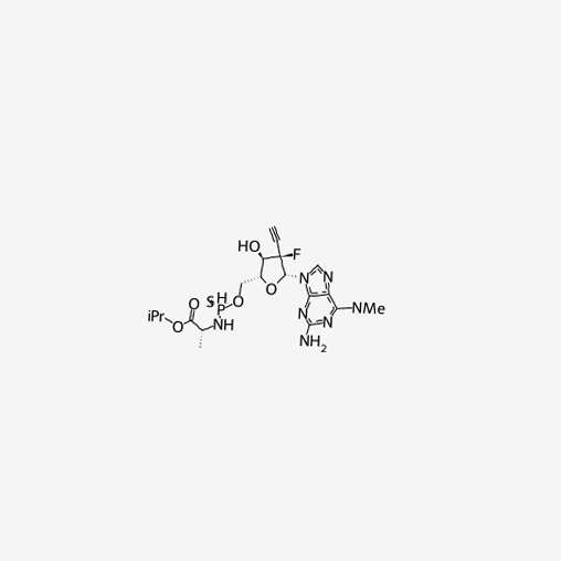 C#C[C@@]1(F)[C@H](O)[C@@H](CO[PH](=S)N[C@H](C)C(=O)OC(C)C)O[C@H]1n1cnc2c(NC)nc(N)nc21